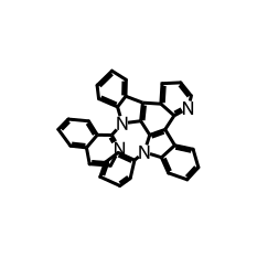 c1ccc(-n2c3ccccc3c3c4ncccc4c4c5ccccc5n(-c5nccc6ccccc56)c4c32)cc1